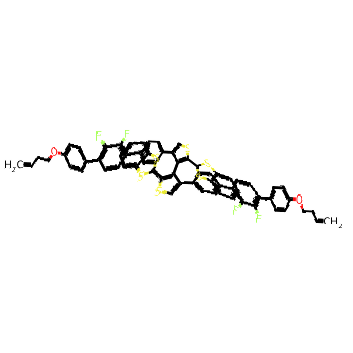 C=CCCOc1ccc(-c2ccc(-c3ccc(-c4csc(C5Sc6ccccc6S5)c4-c4c(-c5ccc(-c6ccc(-c7ccc(OCCC=C)cc7)c(F)c6F)cc5)csc4C4Sc5ccccc5S4)cc3)c(F)c2F)cc1